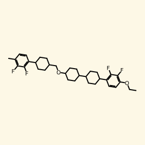 CCOc1ccc(C2CCC(C3CCC(OCC4CCC(c5ccc(C)c(F)c5F)CC4)CC3)CC2)c(F)c1F